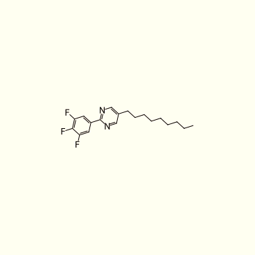 CCCCCCCCCc1cnc(-c2cc(F)c(F)c(F)c2)nc1